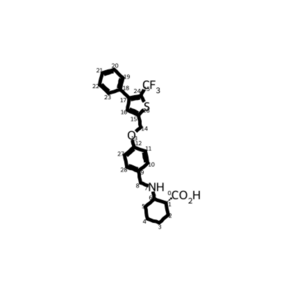 O=C(O)[C@@H]1CCCCC1NCc1ccc(OCc2cc(-c3ccccc3)c(C(F)(F)F)s2)cc1